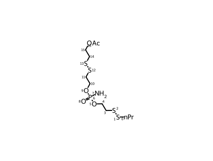 CCCSSCCOP(N)(=O)OCCSSCCOC(C)=O